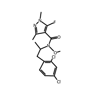 CON(C(=O)c1c(C)nn(C)c1F)C(C)Cc1ccc(Cl)cc1Cl